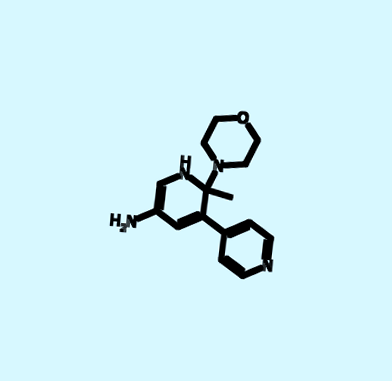 CC1(N2CCOCC2)NC=C(N)C=C1c1ccncc1